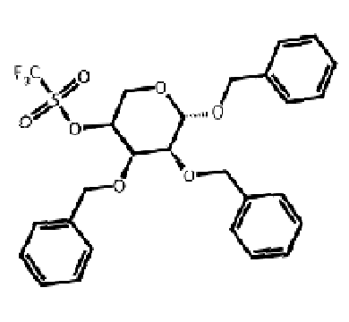 O=S(=O)(O[C@H]1CO[C@H](OCc2ccccc2)[C@@H](OCc2ccccc2)[C@H]1OCc1ccccc1)C(F)(F)F